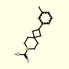 Cc1cccc(C2CC3(CCN(C(=O)O)CC3)C2)c1